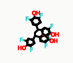 Oc1c(F)cc(C(CC(c2cc(F)c(O)c(F)c2)c2cc(F)c(O)c(F)c2)c2cc(F)c(O)c(F)c2)cc1F